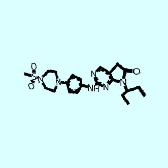 CCC(CC)N1C(=O)Cc2cnc(Nc3ccc(N4CCN(S(C)(=O)=O)CC4)cc3)nc21